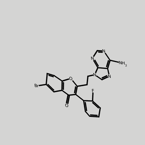 Nc1ncnc2c1ncn2CCc1oc2ccc(Br)cc2c(=O)c1-c1ccccc1F